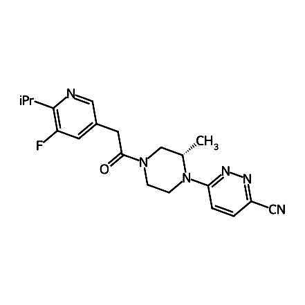 CC(C)c1ncc(CC(=O)N2CCN(c3ccc(C#N)nn3)[C@@H](C)C2)cc1F